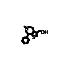 CN1CCc2c(CO)csc2C(c2ccccc2)C1